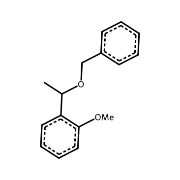 COc1ccccc1C(C)OCc1ccccc1